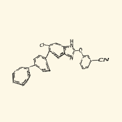 N#Cc1cccc(Oc2nc3cc(-c4ccc(-c5ccccc5)cc4)c(Cl)cc3[nH]2)c1